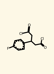 O=C(Cl)CC(CC(=O)Cl)c1ccc(F)cc1